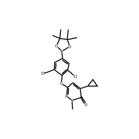 Cn1nc(Oc2c(Cl)cc(B3OC(C)(C)C(C)(C)O3)cc2Cl)cc(C2CC2)c1=O